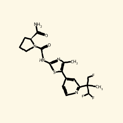 Cc1nc(NC(=O)N2CCC[C@H]2C(N)=O)sc1-c1ccnc(C(C)(CF)C(F)F)c1